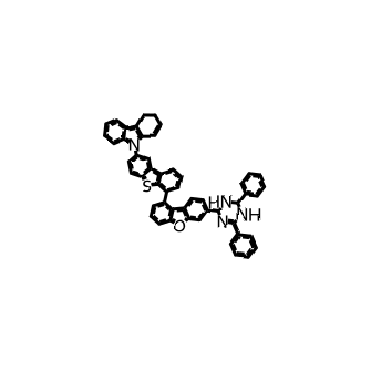 C1=Cc2c(c3ccccc3n2-c2ccc3sc4c(-c5cccc6oc7cc(C8N=C(c9ccccc9)NC(c9ccccc9)N8)ccc7c56)cccc4c3c2)CC1